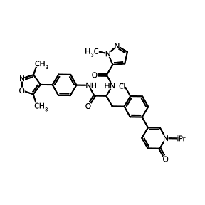 Cc1noc(C)c1-c1ccc(NC(=O)C(Cc2cc(-c3ccc(=O)n(C(C)C)c3)ccc2Cl)NC(=O)c2ccnn2C)cc1